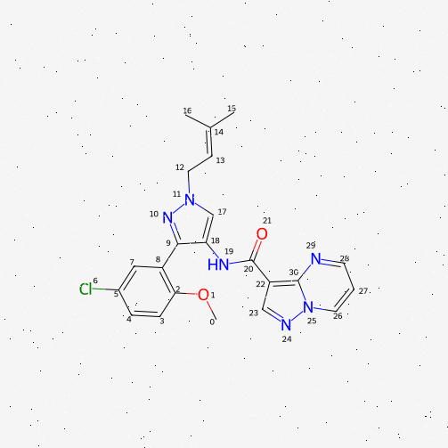 COc1ccc(Cl)cc1-c1nn(CC=C(C)C)cc1NC(=O)c1cnn2cccnc12